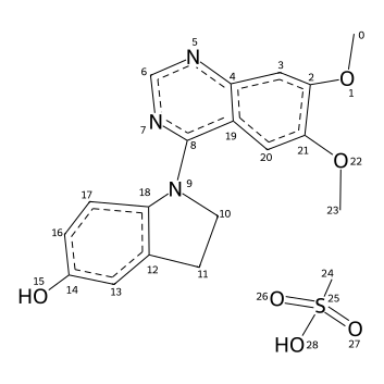 COc1cc2ncnc(N3CCc4cc(O)ccc43)c2cc1OC.CS(=O)(=O)O